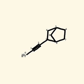 CC(C)C#CC1CC2CCC1C2